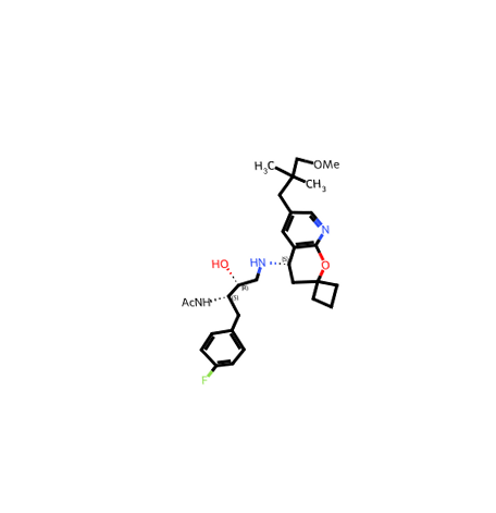 COCC(C)(C)Cc1cnc2c(c1)[C@@H](NC[C@@H](O)[C@H](Cc1ccc(F)cc1)NC(C)=O)CC1(CCC1)O2